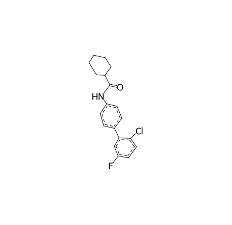 O=C(Nc1ccc(-c2cc(F)ccc2Cl)cc1)C1CCCCC1